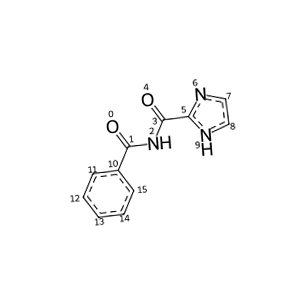 O=C(NC(=O)c1ncc[nH]1)c1ccccc1